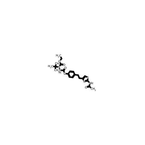 CCOC(=O)N(NC(=O)Oc1ccc(CCc2csc(NC(C)=O)n2)cc1)C(C)(C)C